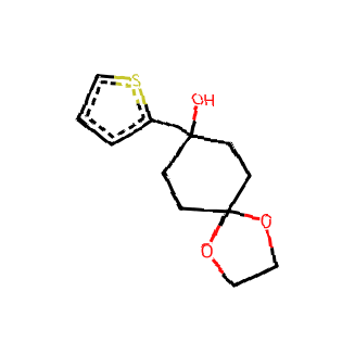 OC1(c2cccs2)CCC2(CC1)OCCO2